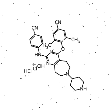 Cc1cc(C#N)cc(C)c1Oc1nc(Nc2ccc(C#N)cc2)nc2c1CCN(C1CCNCC1)CC2.Cl.Cl.Cl